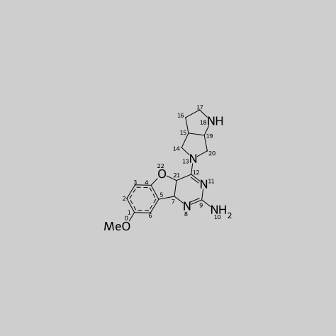 COc1ccc2c(c1)C1N=C(N)N=C(N3CC4CCNC4C3)C1O2